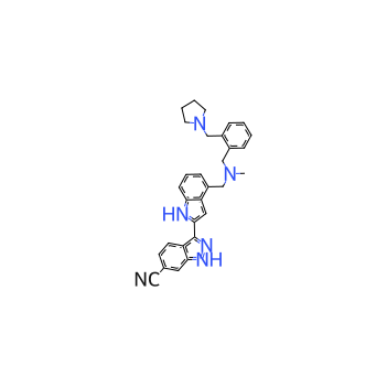 CN(Cc1ccccc1CN1CCCC1)Cc1cccc2[nH]c(-c3n[nH]c4cc(C#N)ccc34)cc12